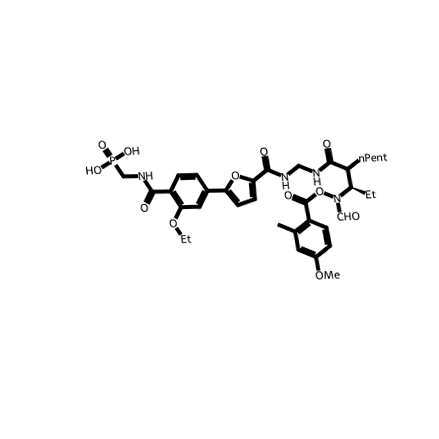 CCCCCC(C(=O)NCNC(=O)c1ccc(-c2ccc(C(=O)NCP(=O)(O)O)c(OCC)c2)o1)[C@@H](CC)N(C=O)OC(=O)c1ccc(OC)cc1C